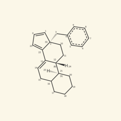 C1=C[C@@]2(Cc3ccccc3)CC[C@H]3C(=CCC4CCCC[C@@H]43)C2=C1